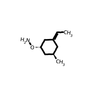 C/C=C1\C[C@@H](C)C[C@H](ON)C1